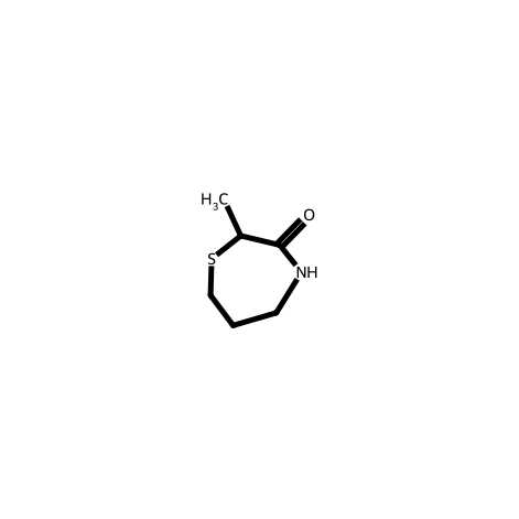 CC1SCCCNC1=O